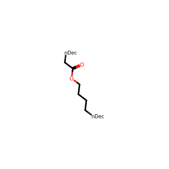 CCCCCCCCCCCCCCOC(=O)CCCCCCCCCCC